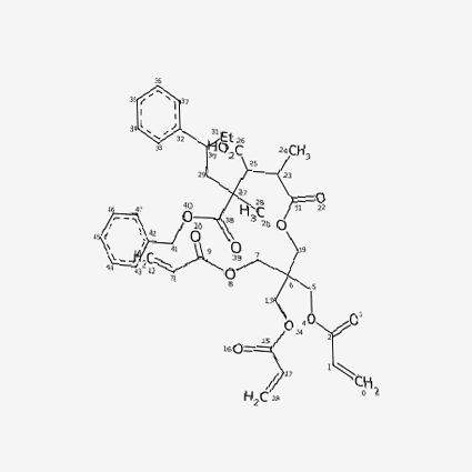 C=CC(=O)OCC(COC(=O)C=C)(COC(=O)C=C)COC(=O)C(C)C(C(=O)O)C(C)(CC(CC)c1ccccc1)C(=O)OCc1ccccc1